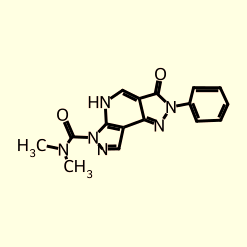 CN(C)C(=O)n1ncc2c3nn(-c4ccccc4)c(=O)c-3c[nH]c21